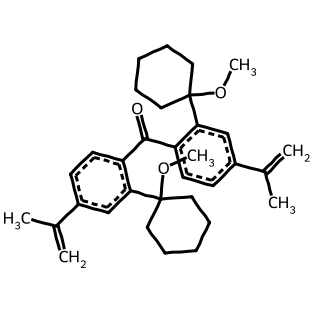 C=C(C)c1ccc(C(=O)c2ccc(C(=C)C)cc2C2(OC)CCCCC2)c(C2(OC)CCCCC2)c1